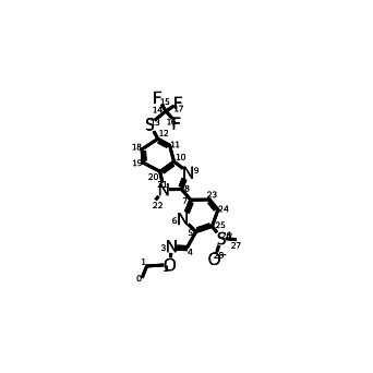 CCON=Cc1nc(-c2nc3cc(SC(F)(F)F)ccc3n2C)ccc1[S+](C)[O-]